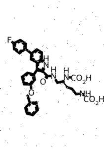 O=C(O)NCCC[C@@H](CNC(=O)c1[nH]c2ccc(-c3ccc(F)cc3)cc2c1-c1cccc(OCc2ccccc2)c1)NC(=O)O